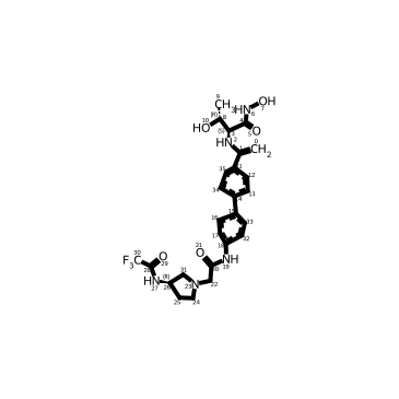 C=C(N[C@H](C(=O)NO)[C@@H](C)O)c1ccc(-c2ccc(NC(=O)CN3CC[C@@H](NC(=O)C(F)(F)F)C3)cc2)cc1